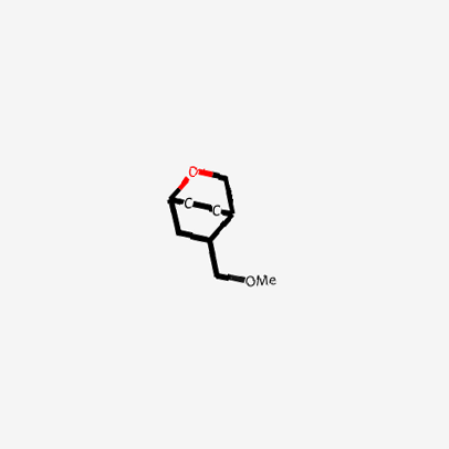 COCC1CC2CCC1CO2